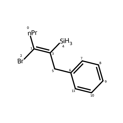 CCCC(Br)=C([SiH3])Cc1ccccc1